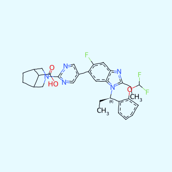 CCc1nc2cc(F)c(-c3cnc(N4CC5CCC(C4)C5C(=O)O)nc3)cc2n1[C@H](CC)c1ccccc1OC(F)F